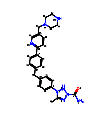 CC1=NN(C(N)=O)NN1c1ccc(Cc2ccc(-c3ccc(CN4CCNCC4)cn3)cc2)cc1